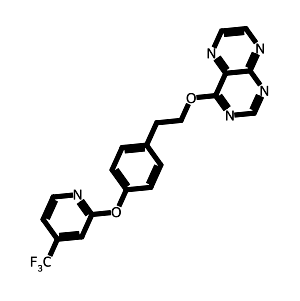 FC(F)(F)c1ccnc(Oc2ccc(CCOc3ncnc4nccnc34)cc2)c1